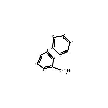 O=C(O)c1cc[c]cc1.[c]1ccccc1